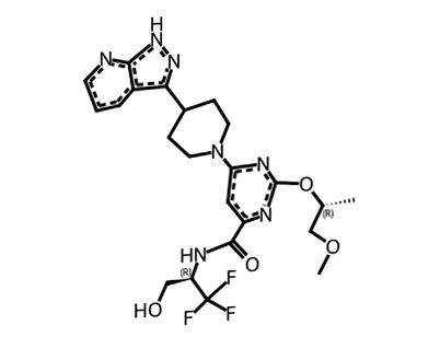 COC[C@@H](C)Oc1nc(C(=O)N[C@H](CO)C(F)(F)F)cc(N2CCC(c3n[nH]c4ncccc34)CC2)n1